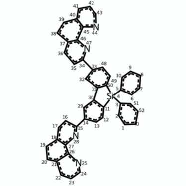 c1ccc([Si]2(c3ccccc3)c3ccc(-c4ccc5ccc6cccnc6c5n4)cc3-c3cc(-c4ccc5ccc6cccnc6c5n4)ccc32)cc1